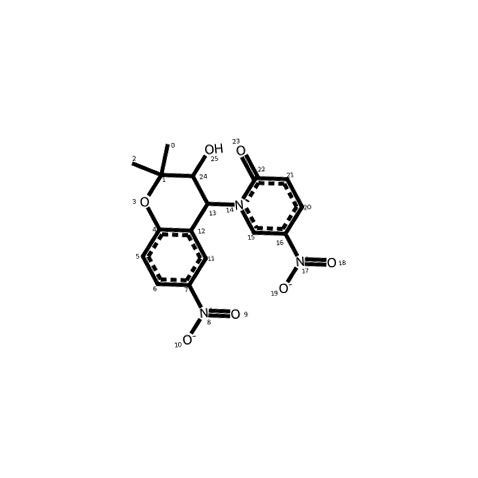 CC1(C)Oc2ccc([N+](=O)[O-])cc2C(n2cc([N+](=O)[O-])ccc2=O)C1O